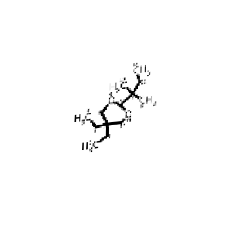 CCC1(CC)COC(C(C)(C)CC)OC1